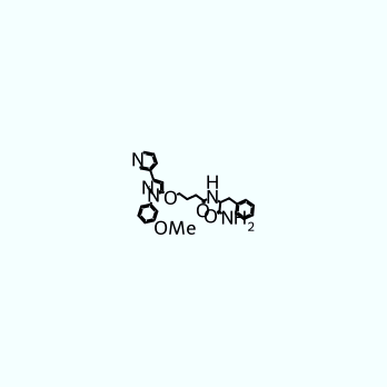 COc1cccc(-n2nc(-c3cccnc3)cc2OCCCC(=O)NC(Cc2ccccc2)C(N)=O)c1